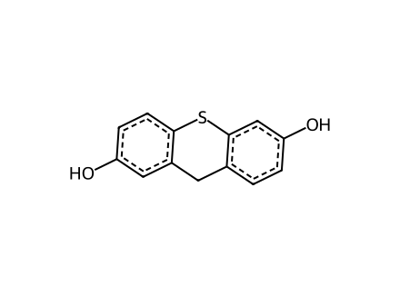 Oc1ccc2c(c1)Cc1ccc(O)cc1S2